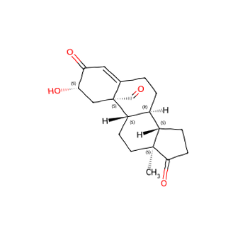 C[C@]12CC[C@H]3[C@@H](CCC4=CC(=O)[C@@H](O)C[C@@]43C=O)[C@@H]1CCC2=O